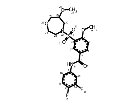 COc1ccc(C(=O)Nc2ccc(F)c(F)c2)cc1S(=O)(=O)N1CCOCC(OC)C1